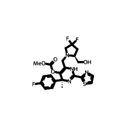 COC(=O)OC1=C(CN2CC(F)(F)C[C@H]2CO)NC(c2nccs2)=N[C@@]1(C)c1ccc(F)cc1